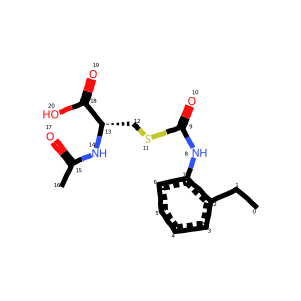 CCc1ccccc1NC(=O)SC[C@H](NC(C)=O)C(=O)O